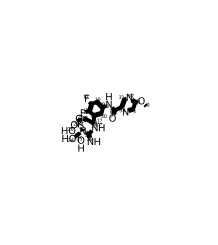 COc1cnc(C(=O)Nc2cc(F)c(F)c([C@]3(C)CS(=O)(=O)N(C(O)(O)O)C(=N)N3)c2)cn1